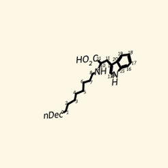 CCCCCCCCCCCCCCCCCCNC(Cc1c[nH]c2ccccc12)C(=O)O